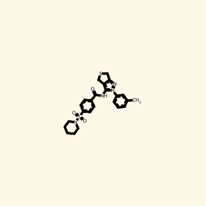 Cc1cccc(-n2nc3c(c2NC(=O)c2ccc(S(=O)(=O)N4CCCCC4)cc2)CSC3)c1